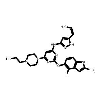 C/C=C\c1cc(Nc2cc(N3CCN(CCO)CC3)nc(Oc3ccc4[nH]c(C)cc4c3Cl)n2)n[nH]1